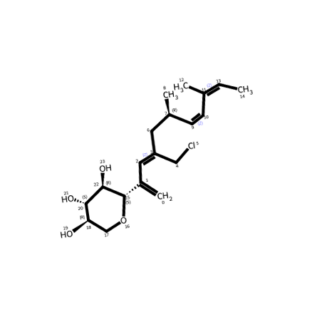 C=C(/C=C(\CCl)C[C@@H](C)/C=C\C(C)=C/C)[C@@H]1OC[C@@H](O)[C@H](O)[C@H]1O